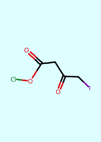 O=C(CI)CC(=O)OCl